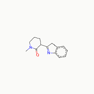 CN1CCCC(C2=Nc3ccccc3C2)C1=O